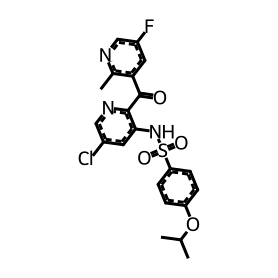 Cc1ncc(F)cc1C(=O)c1ncc(Cl)cc1NS(=O)(=O)c1ccc(OC(C)C)cc1